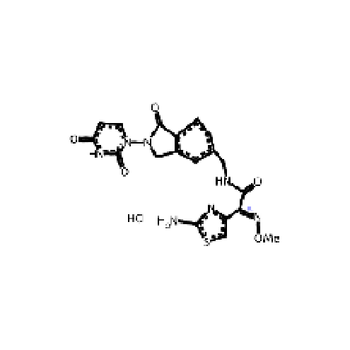 CO/N=C(/C(=O)NCc1ccc2c(c1)CN(n1ccc(=O)[nH]c1=O)C2=O)c1csc(N)n1.Cl